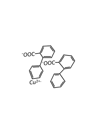 O=C([O-])c1ccccc1-c1ccccc1.O=C([O-])c1ccccc1-c1ccccc1.[Cu+2]